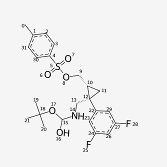 Cc1ccc(S(=O)(=O)OC[C@@H]2C[C@@]2(CNC(O)OC(C)(C)C)c2cc(F)cc(F)c2)cc1